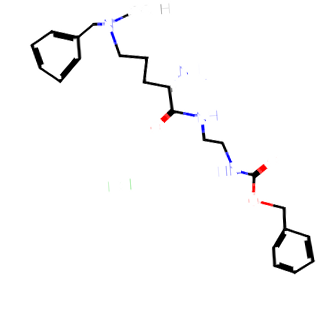 Cl.N[C@@H](CCCN(Cc1ccccc1)C(=O)O)C(=O)NCCNC(=O)OCc1ccccc1